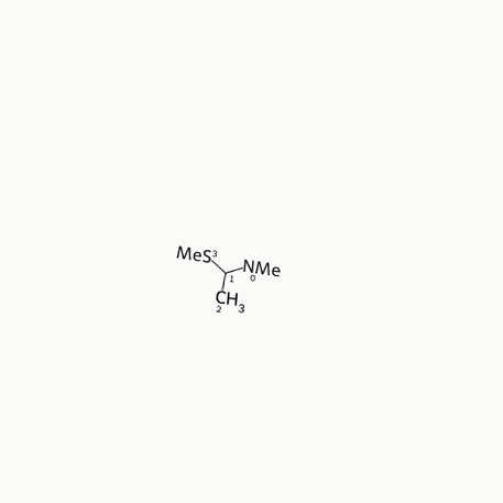 CNC(C)SC